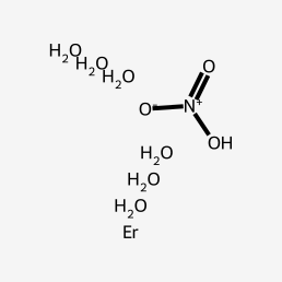 O.O.O.O.O.O.O=[N+]([O-])O.[Er]